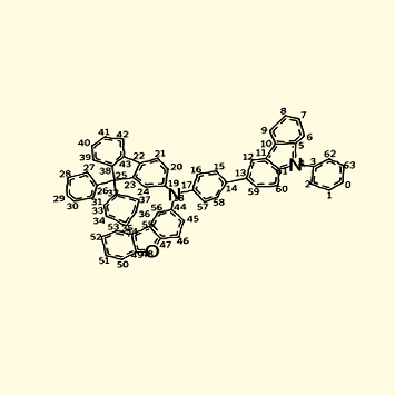 c1ccc(-n2c3ccccc3c3cc(-c4ccc(N(c5ccc6c(c5)C(c5ccccc5)(c5ccccc5)c5ccccc5-6)c5ccc6oc7ccccc7c6c5)cc4)ccc32)cc1